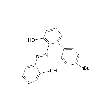 CCCCc1ccc(-c2cccc(O)c2N=Nc2ccccc2O)cc1